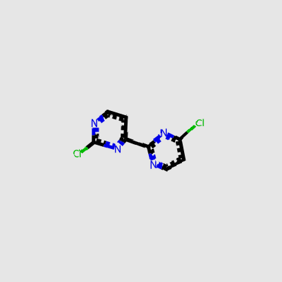 Clc1ccnc(-c2ccnc(Cl)n2)n1